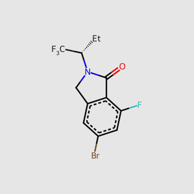 CC[C@H](N1Cc2cc(Br)cc(F)c2C1=O)C(F)(F)F